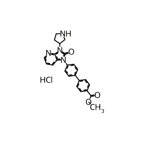 COC(=O)c1ccc(-c2ccc(-n3c(=O)n(C4CCNC4)c4ncccc43)cc2)cc1.Cl